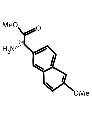 COC(=O)[C@@H](N)c1ccc2cc(OC)ccc2c1